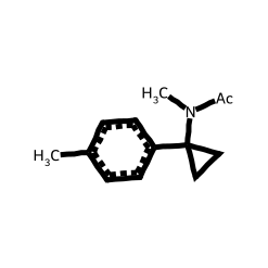 CC(=O)N(C)C1(c2ccc(C)cc2)CC1